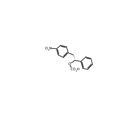 O=C(O)O[C@H](Cc1ccc([N+](=O)[O-])cc1)c1ccccc1